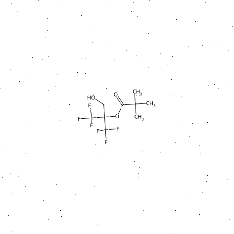 CC(C)(C)C(=O)OC(CO)(C(F)(F)F)C(F)(F)F